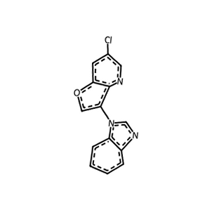 Clc1cnc2c(-n3cnc4ccccc43)coc2c1